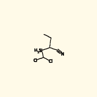 CCC(C#N)[SiH2]C(Cl)Cl